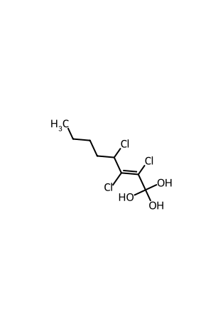 CCCCC(Cl)/C(Cl)=C(\Cl)C(O)(O)O